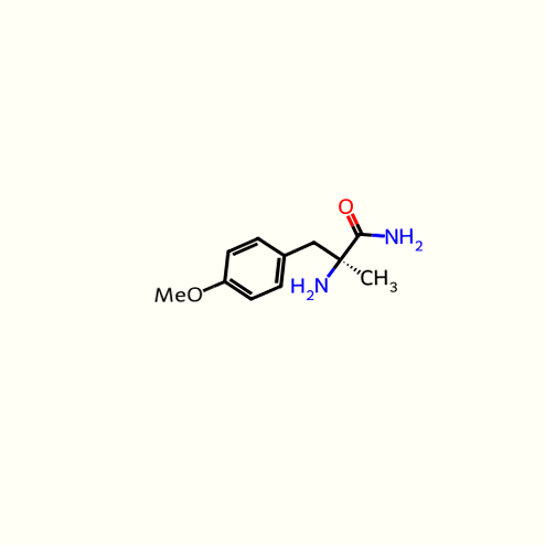 COc1ccc(C[C@](C)(N)C(N)=O)cc1